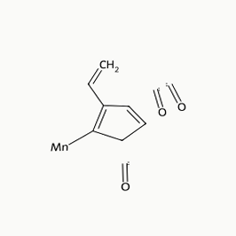 C=CC1=[C]([Mn])CC=C1.[C]=O.[C]=O.[C]=O